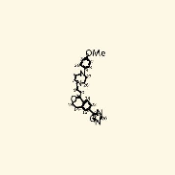 COc1ccc(N2CCN(CC[C@@H]3OCCc4cc(-c5ncno5)ccc43)CC2)cc1